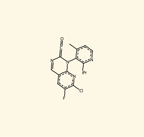 Cc1ccnc(C(C)C)c1N1C(=C=O)N=Cc2cc(F)c(Cl)nc21